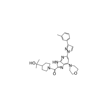 Cc1cccc(-c2ccn(-c3cc(N4CCOCC4)c4nc(C(=O)N5CCC(C(C)(C)O)CC5)[nH]c4n3)n2)c1